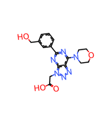 O=C(O)Cn1nnc2c(N3CCOCC3)nc(-c3cccc(CO)c3)nc21